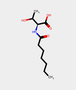 CCCCCCC(=O)N[C@H](C(=O)O)C(C)O